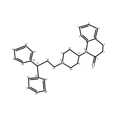 O=C1CCc2ccccc2N1C1CCN(CCC(c2ccccc2)c2ccccc2)CC1